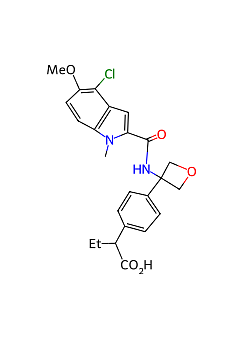 CCC(C(=O)O)c1ccc(C2(NC(=O)c3cc4c(Cl)c(OC)ccc4n3C)COC2)cc1